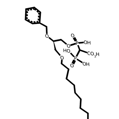 CCCCCCCCCCCCCCCCCCOC[C@H](COP(=O)(O)C(C(=O)O)P(=O)(O)O)OCc1ccccc1